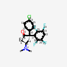 CCC(=O)[C@@](C[C@H](C)N(C)C)(c1ccc(Cl)cc1)c1c(F)c(F)cc(F)c1F